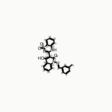 Cc1cccc(C=Nn2c(=O)c(C3=NS(=O)(=O)c4ccccc4N3)c(O)c3ccccc32)c1